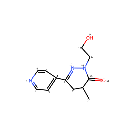 CC1CC(c2ccncc2)=NN(CCO)C1=O